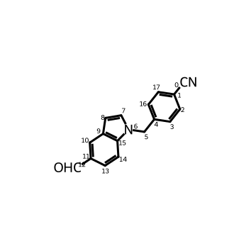 N#Cc1ccc(Cn2ccc3cc(C=O)ccc32)cc1